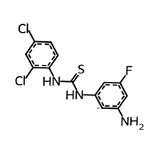 Nc1[c]c(NC(=S)Nc2ccc(Cl)cc2Cl)cc(F)c1